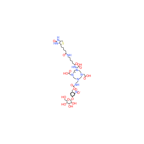 O=C(O)CN1CCN(CCNC(=O)OCc2ccc(OC3OC(CO)C(O)C(O)C3O)cc2[N+](=O)[O-])CCN(CC(=O)O)CCN(C(NC(=O)CCCCCNC(=O)CCCCC2SCC3NC(=O)NC32)C(=O)O)CC1